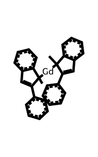 C[C]1([Gd][C]2(C)C(c3ccccc3)=Cc3ccccc32)C(c2ccccc2)=Cc2ccccc21